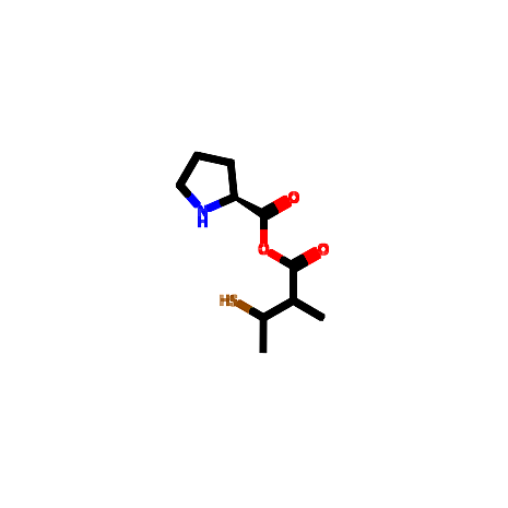 CC(S)C(C)C(=O)OC(=O)[C@@H]1CCCN1